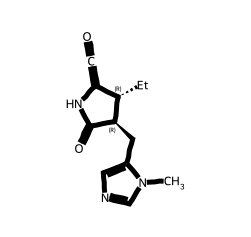 CC[C@H]1C(=C=O)NC(=O)[C@@H]1Cc1cncn1C